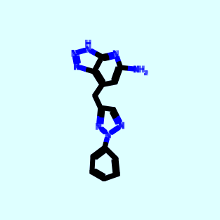 Nc1cc(Cc2cnn(-c3ccccc3)n2)c2nn[nH]c2n1